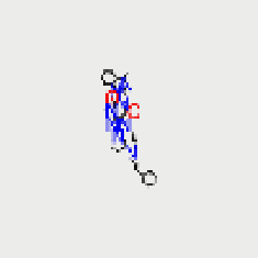 CC#CCn1c(N2CCCC(/N=C/C=C/c3ccccc3)C2)nc2c1c(=O)n(Cc1nc(C)c3ccccc3n1)c(=O)n2C